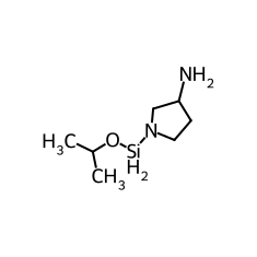 CC(C)O[SiH2]N1CCC(N)C1